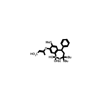 CCCCC1(CCCC)CC(c2ccccc2)c2cc(SC)c(O/C(C)=C/C(=O)O)cc2S(O)(O)N1